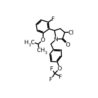 CC(C)Oc1cccc(F)c1C1CC(Cl)C(=O)N1Cc1ccc(OC(F)(F)F)cc1